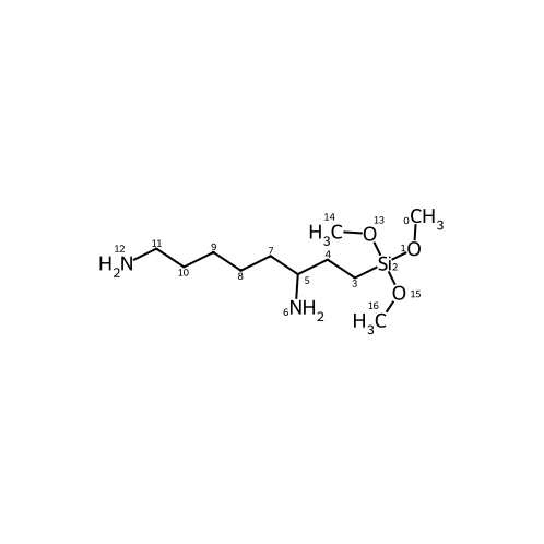 CO[Si](CCC(N)CCCCCN)(OC)OC